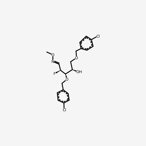 CON=C[C@H](F)[C@H](OCc1ccc(Cl)cc1)[C@H](O)COCc1ccc(Cl)cc1